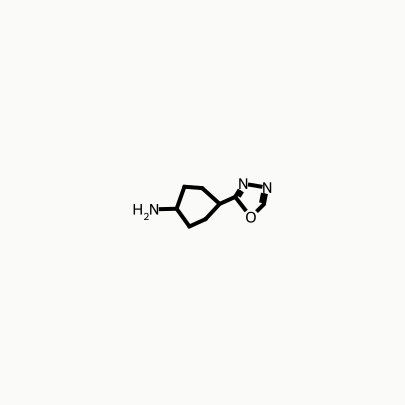 NC1CCC(c2nnco2)CC1